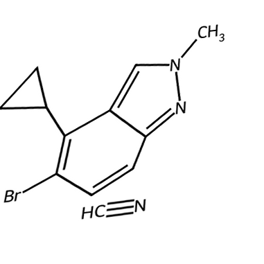 C#N.Cn1cc2c(C3CC3)c(Br)ccc2n1